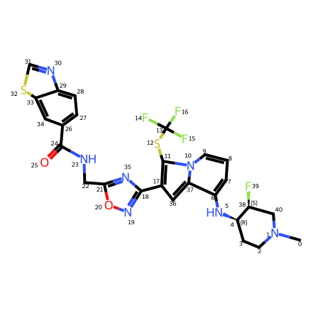 CN1CC[C@@H](Nc2cccn3c(SC(F)(F)F)c(-c4noc(CNC(=O)c5ccc6ncsc6c5)n4)cc23)[C@@H](F)C1